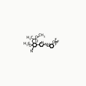 CCOC(=O)C(C)Cc1cc(-c2ccc(NCc3cccc(OC(F)(F)F)c3)nc2)cc(C#N)c1OC